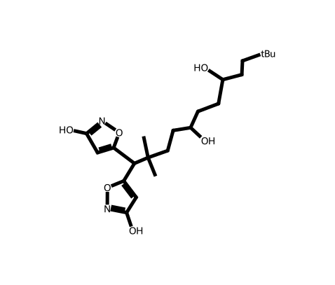 CC(C)(C)CCC(O)CCC(O)CCC(C)(C)C(c1cc(O)no1)c1cc(O)no1